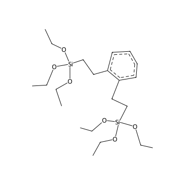 CCO[Si](CCc1ccccc1CC[Si](OCC)(OCC)OCC)(OCC)OCC